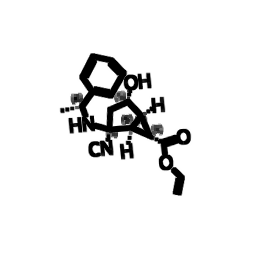 C=COC(=O)[C@H]1[C@H]2[C@@H]1[C@@](C#N)(N[C@H](C)c1ccccc1)C[C@@H]2O